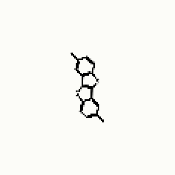 Cc1ccc2sc3c4cc(C)ccc4sc3c2c1